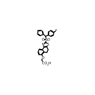 O=C(O)COc1cccc2c1CCc1sc(S(=O)(=O)C(c3ccccc3)c3ccc(F)cc3)nc1-2